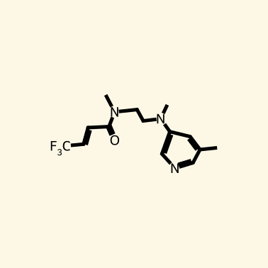 Cc1cncc(N(C)CCN(C)C(=O)C=CC(F)(F)F)c1